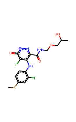 CSc1ccc(Nc2c(C(=O)NCOCC(C)O)n[nH]c(=O)c2F)c(F)c1